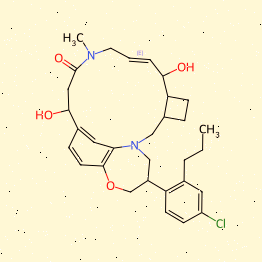 CCCc1cc(Cl)ccc1C1COc2ccc3cc2N(C1)CC1CCC1C(O)/C=C/CN(C)C(=O)CC3O